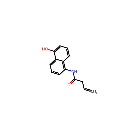 C=CCC(=O)Nc1cccc2c(O)cccc12